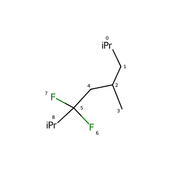 CC(C)CC(C)CC(F)(F)C(C)C